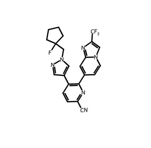 N#Cc1ccc(-c2cnn(CC3(F)CCCC3)c2)c(-c2ccn3cc(C(F)(F)F)nc3c2)n1